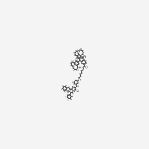 O=C(NCCCCCCOc1cccc(Cc2nc3c(Cc4ccccc4)[nH]c(-c4ccccc4)cn-3c2=O)c1)c1ccc(C(=O)O)c(C2=c3cc4c5c(c3Oc3c2cc2c6c3CCCN6CCCC2)CCCN(C=5)CCCC4)c1